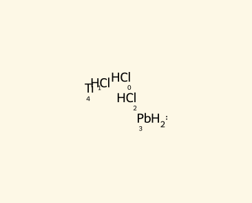 Cl.Cl.Cl.[PbH2].[Ti]